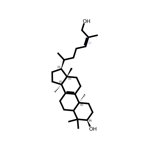 C/C(=C/CCC(C)[C@@H]1CC[C@]2(C)C3=C(CC[C@@]12C)[C@@]1(C)CC[C@@H](O)C(C)(C)C1CC3)CO